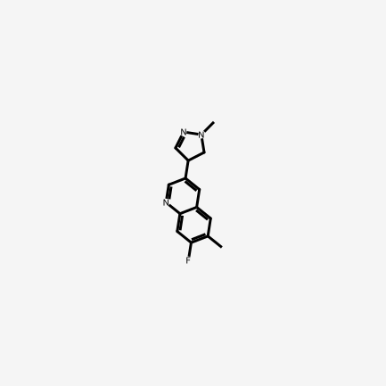 Cc1cc2cc(C3C=NN(C)C3)cnc2cc1F